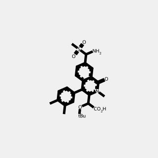 Cc1ccc(-c2c(C(OC(C)(C)C)C(=O)O)n(C)c(=O)c3cc(C(N)S(C)(=O)=O)ccc23)cc1C